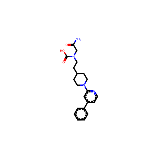 NC(=O)CN(CCC1CCN(c2cc(-c3ccccc3)ccn2)CC1)C(=O)O